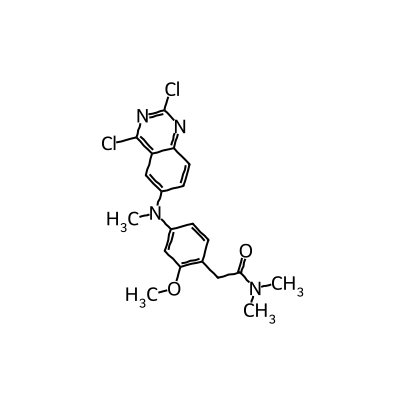 COc1cc(N(C)c2ccc3nc(Cl)nc(Cl)c3c2)ccc1CC(=O)N(C)C